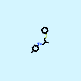 Cc1ccc(NCC(C)CSc2ccccc2)cc1